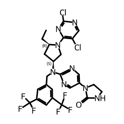 CC[C@@H]1C[C@H](N(Cc2cc(C(F)(F)F)cc(C(F)(F)F)c2)c2ncc(N3CCNC3=O)cn2)CN1c1nc(Cl)ncc1Cl